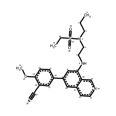 CCCN(CCNc1cc(-c2ccc(OC)c(C#N)c2)cc2ccncc12)S(=O)(=O)CC